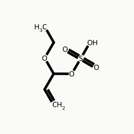 C=CC(OCC)OS(=O)(=O)O